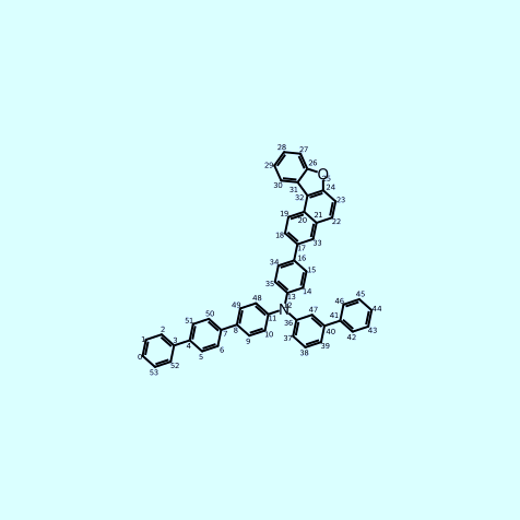 c1ccc(-c2ccc(-c3ccc(N(c4ccc(-c5ccc6c(ccc7oc8ccccc8c76)c5)cc4)c4cccc(-c5ccccc5)c4)cc3)cc2)cc1